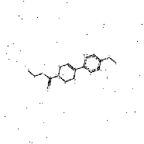 CCOC(=O)N1CC=C(c2ccc(CC)cn2)CC1